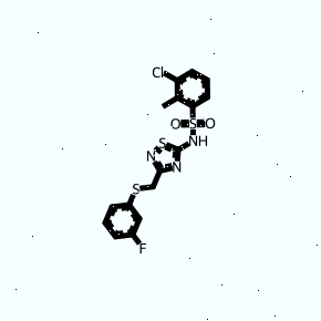 Cc1c(Cl)cccc1S(=O)(=O)Nc1nc(CSc2cccc(F)c2)ns1